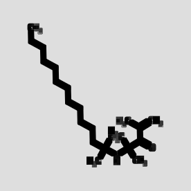 C=C(C)C(=O)C(C)(C)NC(C)(C)CCCCCCCCCCCC